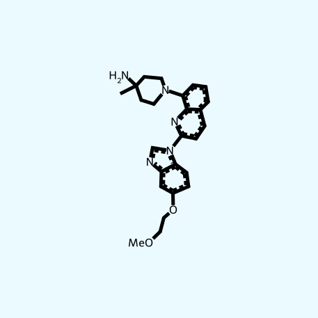 COCCOc1ccc2c(c1)ncn2-c1ccc2cccc(N3CCC(C)(N)CC3)c2n1